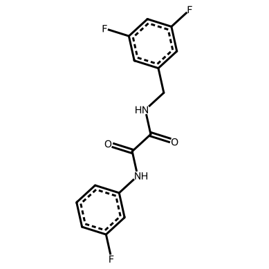 O=C(NCc1cc(F)cc(F)c1)C(=O)Nc1cccc(F)c1